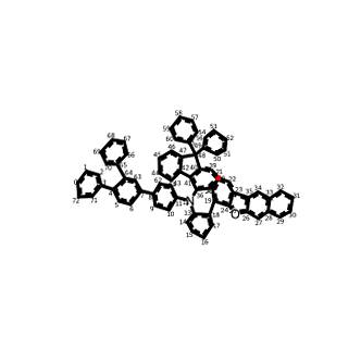 c1ccc(-c2ccc(-c3ccc(N(c4ccccc4-c4cccc5c4oc4cc6ccccc6cc45)c4cccc5c4-c4ccccc4C5(c4ccccc4)c4ccccc4)cc3)cc2-c2ccccc2)cc1